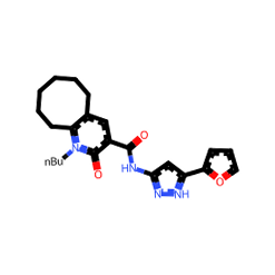 CCCCn1c2c(cc(C(=O)Nc3cc(-c4ccco4)[nH]n3)c1=O)CCCCCC2